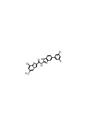 Cc1cc(Cl)c2nc(C(=O)Nc3nc4cc(-c5cc(F)cc(Cl)c5)ccc4[nH]3)cn2c1